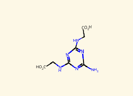 Nc1nc(NCC(=O)O)nc(NCC(=O)O)n1